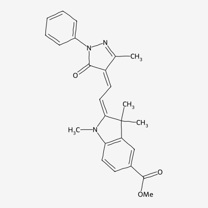 COC(=O)c1ccc2c(c1)C(C)(C)/C(=C\C=C1C(=O)N(c3ccccc3)N=C1C)N2C